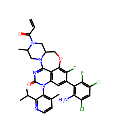 C=CC(=O)N1CC2COc3c(F)c(-c4c(N)c(Cl)cc(Cl)c4F)cc4c3c(nc(=O)n4-c3c(C)ccnc3C(C)C)N2CC1C